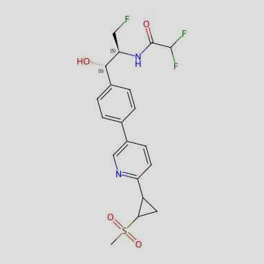 CS(=O)(=O)C1CC1c1ccc(-c2ccc([C@H](O)[C@@H](CF)NC(=O)C(F)F)cc2)cn1